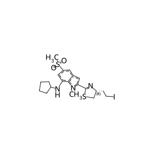 Cn1c(C2=N[C@H](CCI)CS2)cc2cc(S(C)(=O)=O)cc(NC3CCCC3)c21